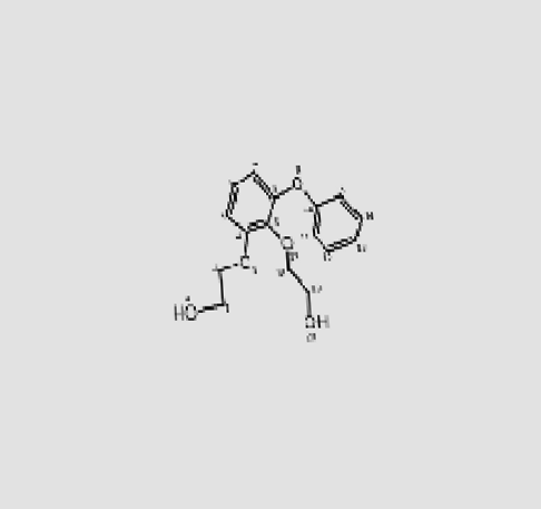 OCCOc1cccc(Oc2ccccc2)c1OCCO